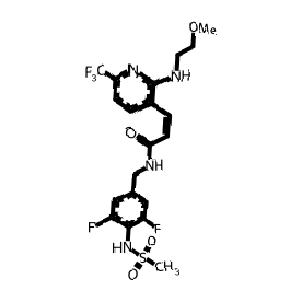 COCCNc1nc(C(F)(F)F)ccc1/C=C\C(=O)NCc1cc(F)c(NS(C)(=O)=O)c(F)c1